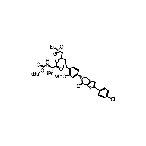 CCS(=O)(=O)CC(COc1ccc(N2Cc3cc(-c4ccc(Cl)cc4)sc3C2=O)cc1OC)OC(=O)C(NC(=O)OC(C)(C)C)C(C)C